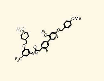 CCOc1cc(OCc2ccc(OC)cc2)ncc1-c1ccc(CC(=O)Nc2cc(OCC3CCN(C)CC3)cc(C(F)(F)F)c2)c(F)c1